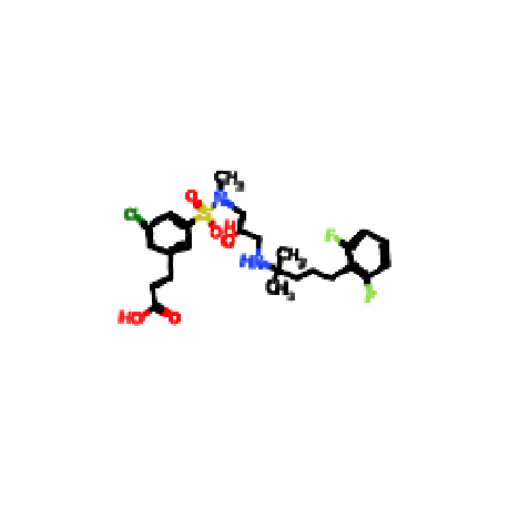 CN(C[C@H](O)CNC(C)(C)CCCc1c(F)cccc1F)S(=O)(=O)c1cc(Cl)cc(CCC(=O)O)c1